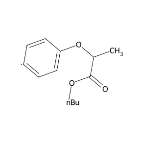 CCCCOC(=O)C(C)Oc1cc[c]cc1